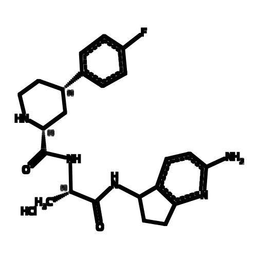 C[C@H](NC(=O)[C@H]1C[C@@H](c2ccc(F)cc2)CCN1)C(=O)NC1CCc2nc(N)ccc21.Cl